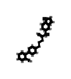 O=C(CCCc1ccc(-c2ccccc2F)cc1)Nc1ccc2[nH]ccc2c1